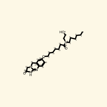 CCCCCCN(CCO)C(=O)CCCCCCOc1ccc2c(c1)CN1CC(=O)NC1=N2